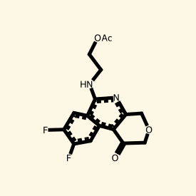 CC(=O)OCCNc1nc2c(c3cc(F)c(F)cc13)C(=O)COC2